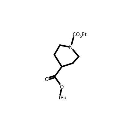 CCOC(=O)N1CCC(C(=O)OC(C)(C)C)CC1